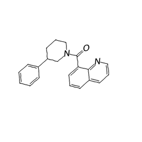 O=C(c1cccc2cccnc12)N1CCCC(c2ccccc2)C1